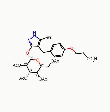 CC(=O)OC[C@H]1O[C@@H](Oc2n[nH]c(C(C)C)c2Cc2ccc(OCCC(=O)O)cc2)[C@H](OC(C)=O)[C@@H](OC(C)=O)[C@@H]1OC(C)=O